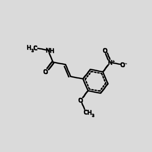 CNC(=O)C=Cc1cc([N+](=O)[O-])ccc1OC